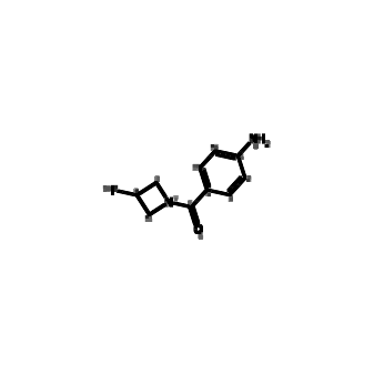 Nc1ccc(C(=O)N2CC(F)C2)cc1